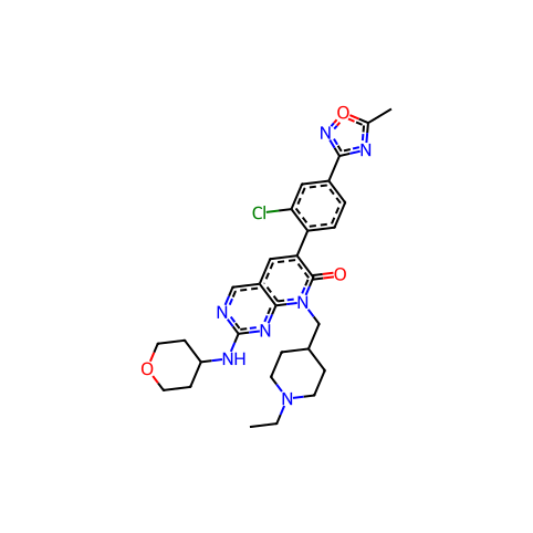 CCN1CCC(Cn2c(=O)c(-c3ccc(-c4noc(C)n4)cc3Cl)cc3cnc(NC4CCOCC4)nc32)CC1